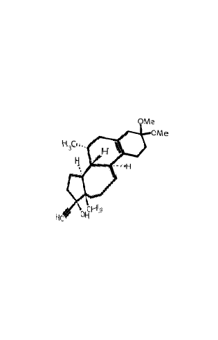 C#C[C@]1(O)CC[C@H]2[C@@H]3[C@H](C)CC4=C(CCC(OC)(OC)C4)[C@H]3CC[C@@]21C